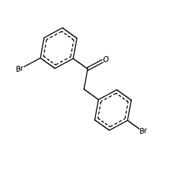 O=C(Cc1ccc(Br)cc1)c1cccc(Br)c1